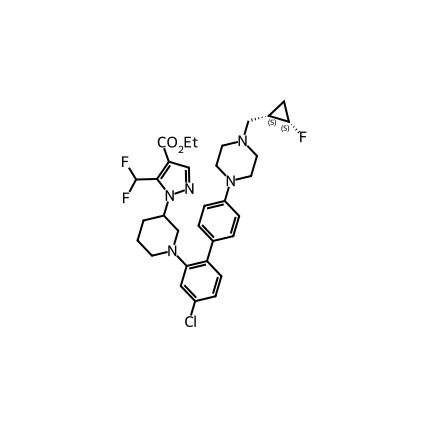 CCOC(=O)c1cnn(C2CCCN(c3cc(Cl)ccc3-c3ccc(N4CCN(C[C@@H]5C[C@@H]5F)CC4)cc3)C2)c1C(F)F